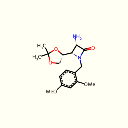 COc1ccc(CN2C(=O)[C@@H](N)[C@H]2[C@@H]2COC(C)(C)O2)c(OC)c1